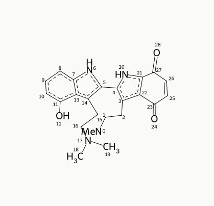 CNCCc1c(-c2[nH]c3cccc(O)c3c2CCN(C)C)[nH]c2c1C(=O)C=CC2=O